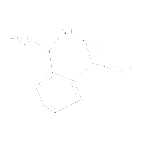 NC(C(=O)O)c1c[c]ccc1C(N)C(=O)O